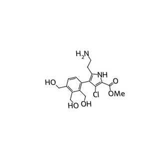 COC(=O)c1[nH]c(CCN)c(-c2ccc(CO)c(CO)c2CO)c1Cl